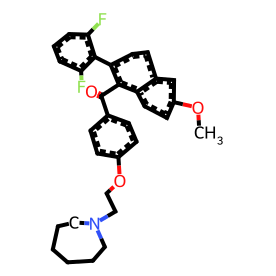 COc1ccc2c(C(=O)c3ccc(OCCN4CCCCCC4)cc3)c(-c3c(F)cccc3F)ccc2c1